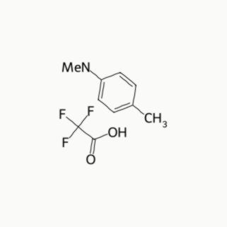 CNc1ccc(C)cc1.O=C(O)C(F)(F)F